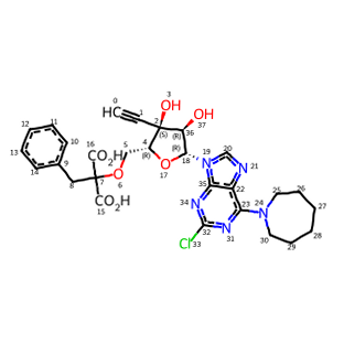 C#C[C@@]1(O)[C@@H](COC(Cc2ccccc2)(C(=O)O)C(=O)O)O[C@@H](n2cnc3c(N4CCCCCC4)nc(Cl)nc32)[C@@H]1O